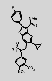 CNC(=O)c1c(-c2ccc(F)cc2)oc2cc(CN(c3ccc([N+](=O)[O-])c(C(=O)O)c3)[SH](=O)=O)c(C3CC3)cc12